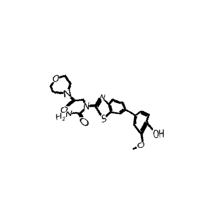 COc1cc(-c2ccc3nc(N(CC(=O)N4CCOCC4)C(N)=O)sc3c2)ccc1O